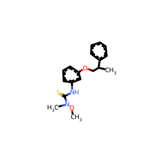 CON(C)C(=S)Nc1cccc(OCC(C)c2ccccc2)c1